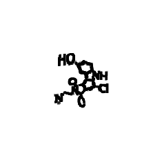 CN(C)CCN1C(=O)c2cc(Cl)c3[nH]c4ccc(O)cc4c3c2C1=O